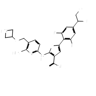 Cc1nc(Nc2sc(-c3c(F)cc(C(C)CO)cc3F)cc2C(N)=O)ccc1COC1CNC1